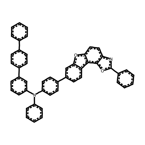 c1ccc(-c2ccc(-c3cccc(N(c4ccccc4)c4ccc(-c5ccc6c(c5)oc5ccc7nc(-c8ccccc8)oc7c56)cc4)c3)cc2)cc1